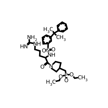 CCOP(=O)(CC1CCN(C(=O)C(CCCNC(=N)N)NS(=O)(=O)c2cccc(C(C)(C)c3ccccc3)c2)CC1)OCC